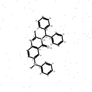 Cc1nc2ccc(N(C)c3ccccc3)cc2c(=O)n1C(c1ccccc1)c1ccccc1